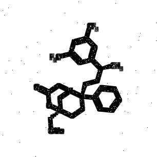 COC[C@]12CC[C@@](CC[C@H](C)c3cc(C(F)(F)F)cc(C(F)(F)F)c3)(c3ccccc3)N(CC(=O)O1)C2